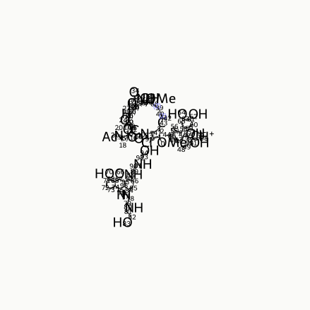 COc1cc2cc(c1Cl)N(C)C(=O)C[C@H](OC(=O)[C@H](C)N(C)C(C)=O)[C@]1(C)O[C@H]1[C@H](C)[C@@H]1C[C@@](O)(NC(=O)O1)[C@H](OC)/C=C\C=C(\C)C2.C[C@H](Cc1ccc(O)c(O)c1)[C@@H](C)Cc1ccc(O)c(O)c1.O=C1c2c(O)cccc2-c2nn(CCNCCO)c3ccc(NCCNCCO)c1c23.[Cl-].[H+]